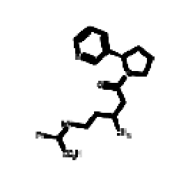 CC[C@@H](NCCC(C)CC(=O)N1CCC[C@@H]1c1cccnc1)C(=O)O